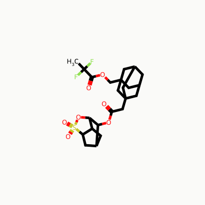 CC(F)(F)C(=O)OCC12CC3CC(C1)CC(CC(=O)OC1C4CC5C1OS(=O)(=O)C5C4)(C3)C2